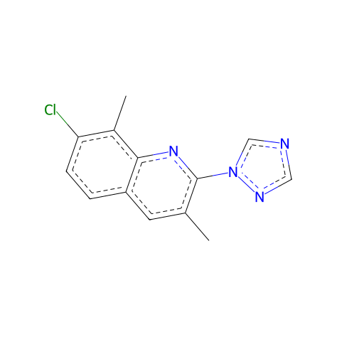 Cc1cc2ccc(Cl)c(C)c2nc1-n1cncn1